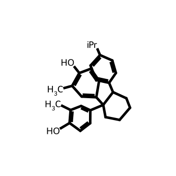 Cc1cc(C2(c3ccc(O)c(C)c3)CCCCC2c2ccc(C(C)C)cc2)ccc1O